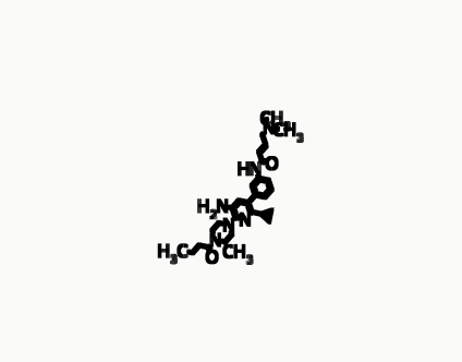 CCCC(=O)N1CCN(c2nc(C3CC3)c(-c3cccc(NC(=O)/C=C/CN(C)C)c3)cc2N)C[C@H]1C